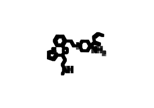 C=C(/C=C\C)C1(N)CCN(CCc2ccccc2OC(CCNC)c2cccs2)CC1